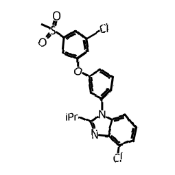 CC(C)c1nc2c(Cl)cccc2n1-c1cccc(Oc2cc(Cl)cc(S(C)(=O)=O)c2)c1